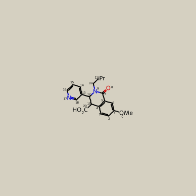 COc1ccc2c(c1)C(=O)N(CC(C)C)C(c1cccnc1)C2C(=O)O